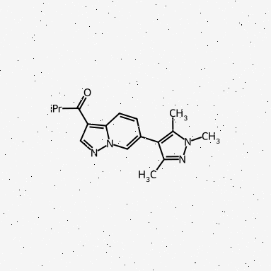 Cc1nn(C)c(C)c1-c1ccc2c(C(=O)C(C)C)cnn2c1